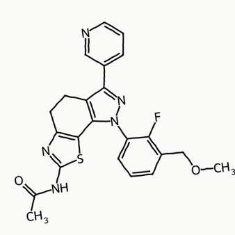 COCc1cccc(-n2nc(-c3cccnc3)c3c2-c2sc(NC(C)=O)nc2CC3)c1F